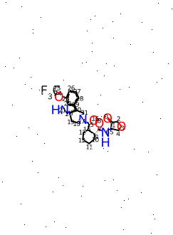 O=C1COCC1NC(=O)[C@@H]1CCCCC1C(=O)N1CCc2[nH]c3c(OC(F)(F)F)cccc3c2C1